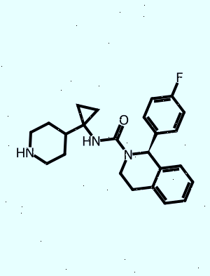 O=C(NC1(C2CCNCC2)CC1)N1CCc2ccccc2[C@@H]1c1ccc(F)cc1